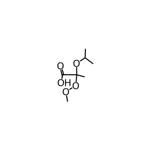 COOC(C)(OC(C)C)C(=O)O